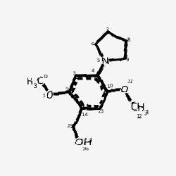 COc1cc(N2CCCC2)c(OC)cc1CO